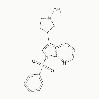 CN1CCC(c2cn(S(=O)(=O)c3ccccc3)c3ncccc23)C1